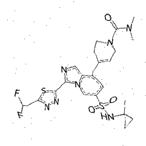 CN(C)C(=O)N1CC=C(c2cc(S(=O)(=O)NC3(C)CC3)cn3c(-c4nnc(C(F)F)s4)ncc23)CC1